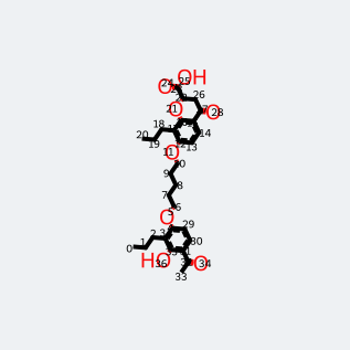 CCCc1c(OCCCCCOc2ccc3c(c2CCC)OC(C(=O)O)CC3=O)ccc(C(C)=O)c1O